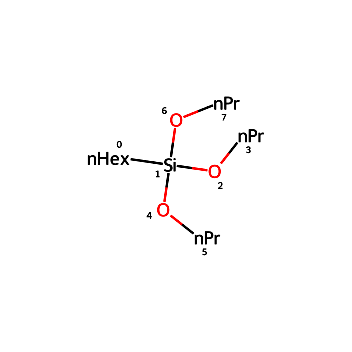 CCCCCC[Si](OCCC)(OCCC)OCCC